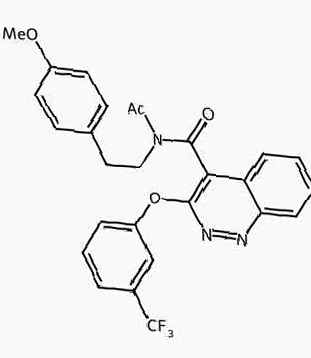 COc1ccc(CCN(C(C)=O)C(=O)c2c(Oc3cccc(C(F)(F)F)c3)nnc3ccccc23)cc1